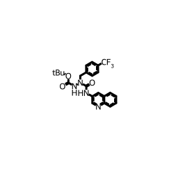 CC(C)(C)OC(=O)NN(Cc1ccc(C(F)(F)F)cc1)C(=O)Nc1cnc2ccccc2c1